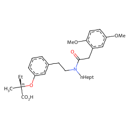 CCCCCCCN(CCc1cccc(O[C@](C)(CC)C(=O)O)c1)C(=O)Cc1cc(OC)ccc1OC